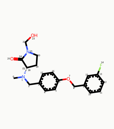 CN(Cc1ccc(OCc2cccc(F)c2)cc1)[C@H]1CCN(CO)C1=O